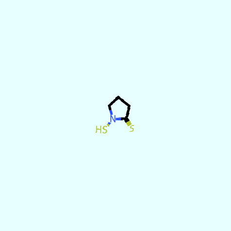 S=C1CCCN1S